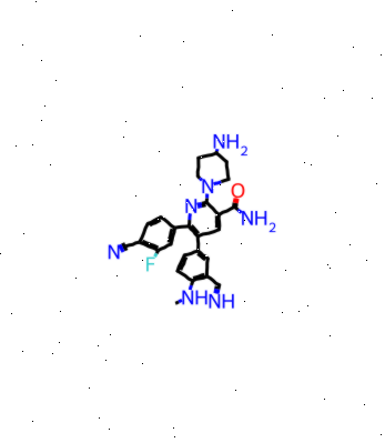 CNc1ccc(-c2cc(C(N)=O)c(N3CCC(N)CC3)nc2-c2ccc(C#N)c(F)c2)cc1C=N